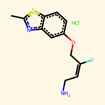 Cc1nc2cc(OC/C(F)=C\CN)ccc2s1.Cl